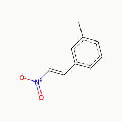 Cc1cc[c]c(C=C[N+](=O)[O-])c1